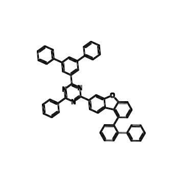 c1ccc(-c2cc(-c3ccccc3)cc(-c3nc(-c4ccccc4)nc(-c4ccc5c(c4)oc4cccc(-c6ccccc6-c6ccccc6)c45)n3)c2)cc1